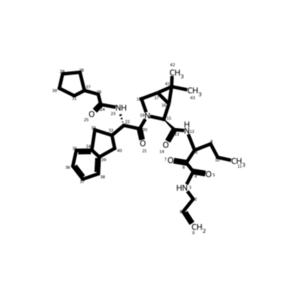 C=CCNC(=O)C(=O)C(CCC)NC(=O)[C@@H]1C2C(CN1C(=O)[C@@H](NC(=O)CC1CCCC1)C1Cc3ccccc3C1)C2(C)C